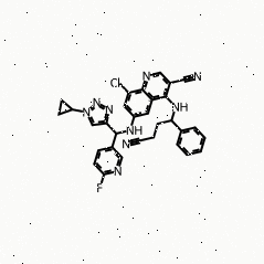 N#CCCC(Nc1c(C#N)cnc2c(Cl)cc(NC(c3ccc(F)nc3)c3cn(C4CC4)nn3)cc12)c1ccccc1